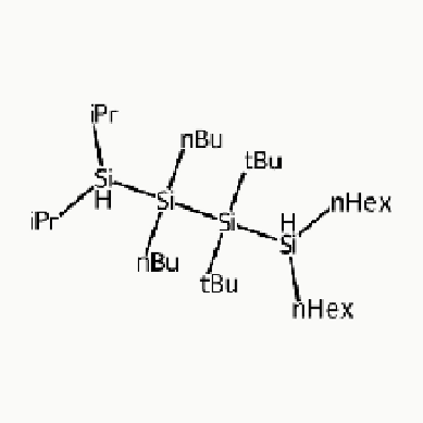 CCCCCC[SiH](CCCCCC)[Si](C(C)(C)C)(C(C)(C)C)[Si](CCCC)(CCCC)[SiH](C(C)C)C(C)C